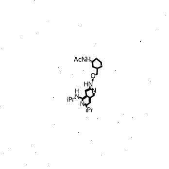 CC(=O)N[C@@H]1CCCC(COCNc2cc3c(NC(C)C)nc(C(C)C)cc3cn2)C1